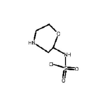 O=S(=O)(Cl)NC1CNCCO1